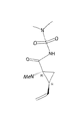 C=C[C@@H]1C[C@]1(NC)C(=O)NS(=O)(=O)N(C)C